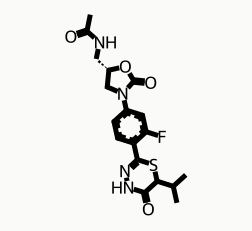 CC(=O)NC[C@H]1CN(c2ccc(C3=NNC(=O)C(C(C)C)S3)c(F)c2)C(=O)O1